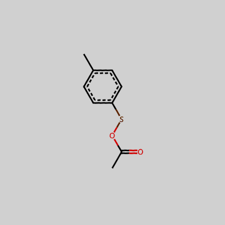 CC(=O)OSc1ccc(C)cc1